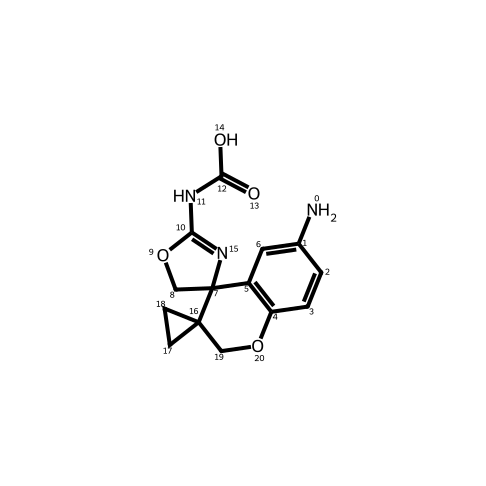 Nc1ccc2c(c1)C1(COC(NC(=O)O)=N1)C1(CC1)CO2